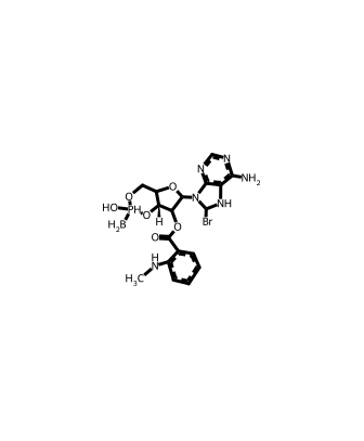 B[PH]1(O)OCC2OC(N3c4ncnc(N)c4NC3Br)C(OC(=O)c3ccccc3NC)[C@@H]2O1